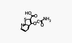 NC(=O)COc1c(C(=O)O)sc2ncccc12